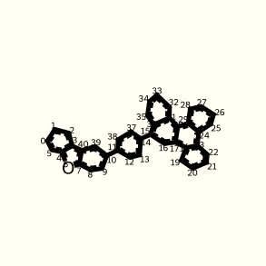 c1ccc2c(c1)oc1ccc(-c3ccc(-c4cc5c6ccccc6c6ccccc6c5c5ccccc45)cc3)cc12